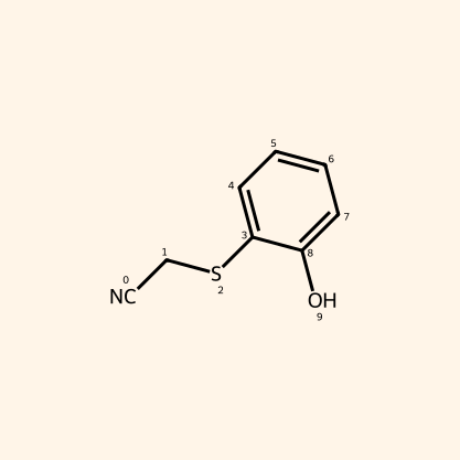 N#CCSc1ccccc1O